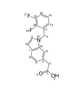 O=C(O)Cc1ccc2ccn(Cc3cccc(F)c3F)c2c1